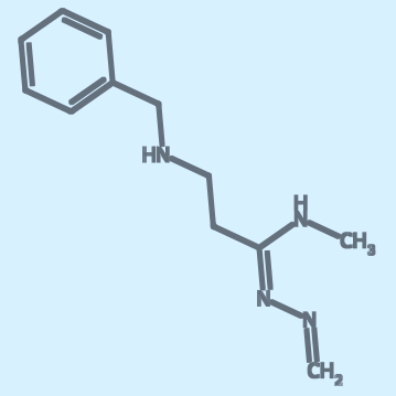 C=N/N=C(/CCNCc1ccccc1)NC